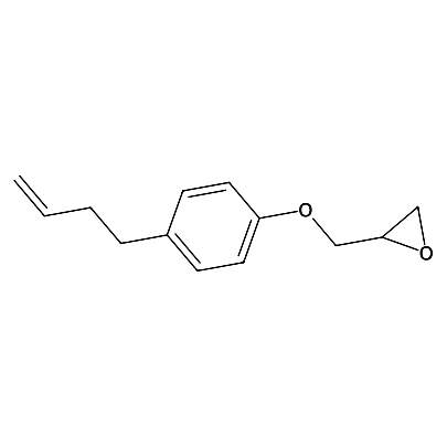 C=CCCc1ccc(OCC2CO2)cc1